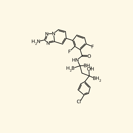 BC(B)(CC(B)(O)c1ccc(Cl)cc1)NC(=O)c1c(F)ccc(-c2ccn3nc(N)nc3c2)c1F